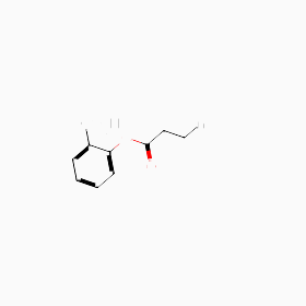 CCCCCCCCCCC(=O)Oc1ccccc1C(=O)O